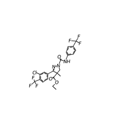 CCOC(=O)C1(C)CN(C(=O)Nc2ccc(C(F)(F)F)cc2)N=C1c1ccc(C(F)(F)F)c(Cl)c1